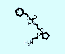 NCCOC1(OCCNC(=O)OCc2ccccc2)CCCC1